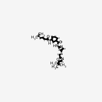 CN(C)C/C=C/C(=O)NC1CCCC(C(=O)Nc2ncc(SCc3ncc(C(C)(C)C)o3)s2)C1